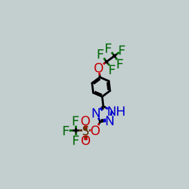 O=S(=O)(Oc1n[nH]c(-c2ccc(OC(F)(F)C(F)(F)F)cc2)n1)C(F)(F)F